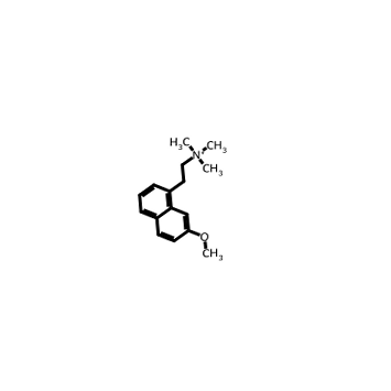 COc1ccc2cccc(CC[N+](C)(C)C)c2c1